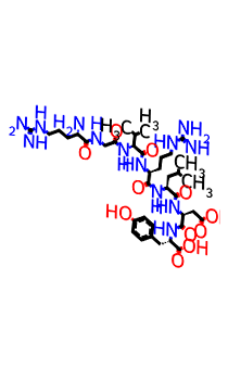 CC(C)C[C@H](NC(=O)[C@H](CCCNC(=N)N)NC(=O)[C@@H](NC(=O)CNC(=O)[C@@H](N)CCCNC(=N)N)C(C)C)C(=O)N[C@@H](CC(=O)O)C(=O)N[C@@H](Cc1ccc(O)cc1)C(=O)O